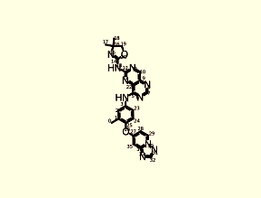 Cc1cc(Nc2ncnc3cnc(NC4=NC(C)(C)CO4)nc23)ccc1Oc1ccn2ncnc2c1